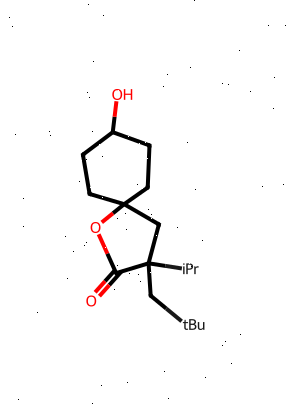 CC(C)C1(CC(C)(C)C)CC2(CCC(O)CC2)OC1=O